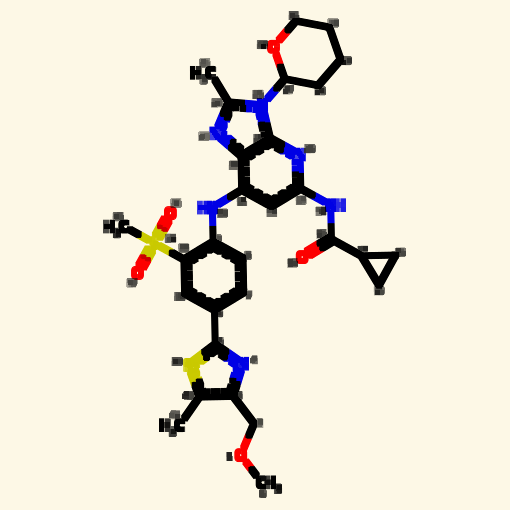 COCc1nc(-c2ccc(Nc3cc(NC(=O)C4CC4)nc4c3nc(C)n4C3CCCCO3)c(S(C)(=O)=O)c2)sc1C